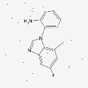 Cc1cc(F)cc2ncn(-c3ccccc3N)c12